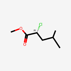 COC(=O)[C@H](Cl)CC(C)C